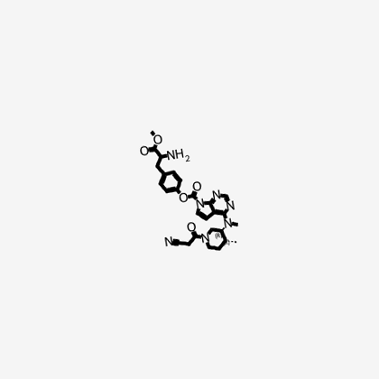 COC(=O)C(N)Cc1ccc(OC(=O)n2ccc3c(N(C)[C@H]4CN(C(=O)CC#N)CC[C@H]4C)ncnc32)cc1